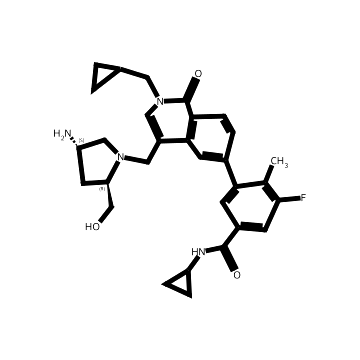 Cc1c(F)cc(C(=O)NC2CC2)cc1-c1ccc2c(=O)n(CC3CC3)cc(CN3C[C@@H](N)C[C@@H]3CO)c2c1